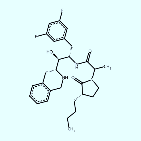 CCCC[C@H]1CCN(C(C)C(=O)N[C@@H](Cc2cc(F)cc(F)c2)[C@H](O)[C@H]2Cc3ccccc3CN2)C1=O